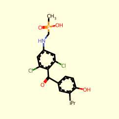 CC(C)c1cc(C(=O)c2c(Cl)cc(NCP(C)(=O)O)cc2Cl)ccc1O